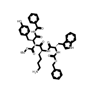 CC(C)(C)OC(=O)N(C(=O)[C@H](CCCCN)NC(=O)[C@H](Cc1c[nH]c2ccccc12)NC(=O)OCc1ccccc1)[C@@H](Cc1ccc(O)cc1)C(=O)NC(=O)c1ccccc1